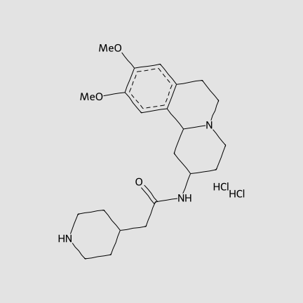 COc1cc2c(cc1OC)C1CC(NC(=O)CC3CCNCC3)CCN1CC2.Cl.Cl